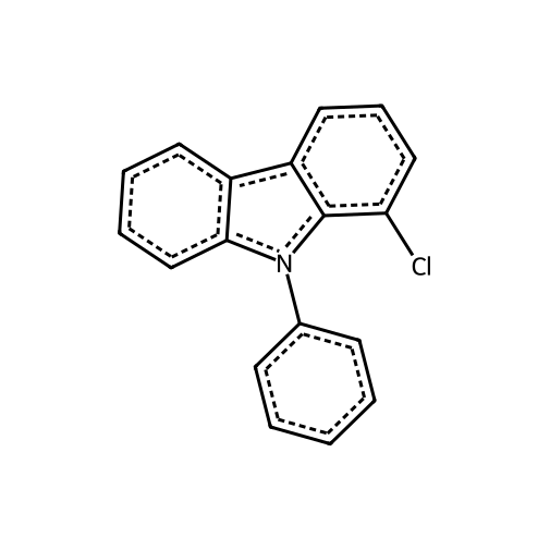 Clc1cccc2c3ccccc3n(-c3ccccc3)c12